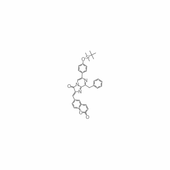 CC(C)(C)[Si](C)(C)Oc1ccc(C2=CN3C(=O)C(=Cc4ccc5oc(=O)ccc5c4)N=C3C(Cc3ccccc3)=N2)cc1